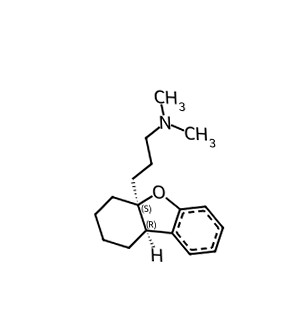 CN(C)CCC[C@@]12CCCC[C@@H]1c1ccccc1O2